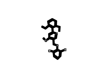 CCc1cccc(CC)c1-c1cc(OC)c(COc2c(Cl)cccc2Cl)cn1